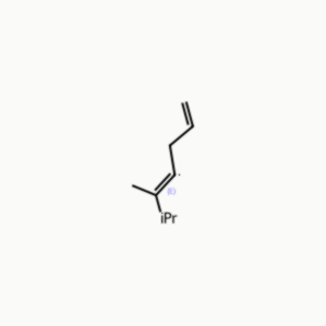 C=CC/[C]=C(\C)C(C)C